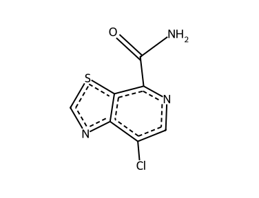 NC(=O)c1ncc(Cl)c2ncsc12